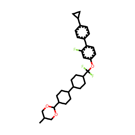 CC1COC(C2CCC(C3CCC(C(F)(F)Oc4ccc(-c5ccc(C6CC6)cc5)c(F)c4)CC3)CC2)OC1